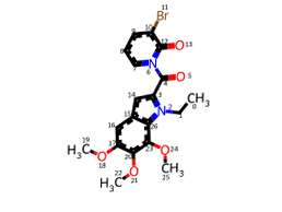 CCn1c(C(=O)n2cccc(Br)c2=O)cc2cc(OC)c(OC)c(OC)c21